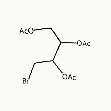 CC(=O)OCC(OC(C)=O)C(CBr)OC(C)=O